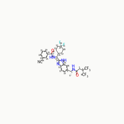 C[C@@H](NC(=O)CC(C(F)(F)F)C(F)(F)F)c1ccc2nc([C@@H](NC(=O)c3cccc(C#N)c3)C3CCC(F)(F)CC3)[nH]c2c1